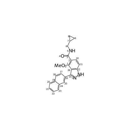 COc1c(C(=O)NCC2CC2)ccc2[nH]nc(-c3ccc4ccccc4c3)c12